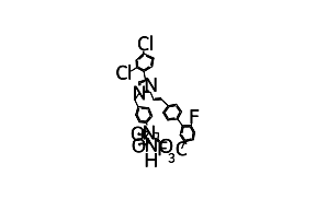 O=C1CN(c2ccc(Cn3cc(-c4ccc(Cl)cc4Cl)nc3C=Cc3ccc(-c4cc(C(F)(F)F)ccc4F)cc3)cc2)S(=O)(=O)N1